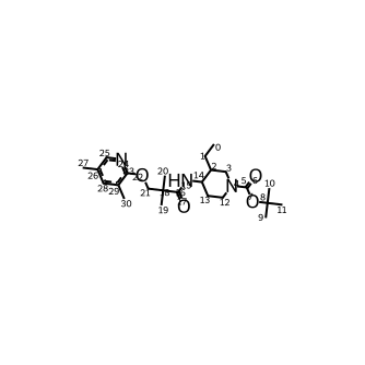 CCC1CN(C(=O)OC(C)(C)C)CCC1NC(=O)C(C)(C)COc1ncc(C)cc1C